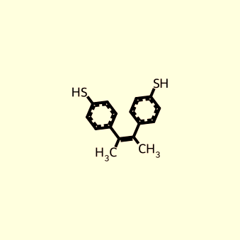 CC(=C(C)c1ccc(S)cc1)c1ccc(S)cc1